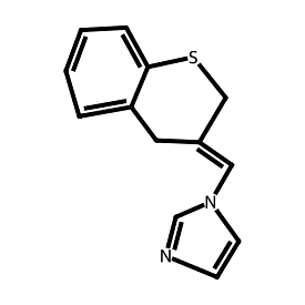 C(=C1\CSc2ccccc2C1)/n1ccnc1